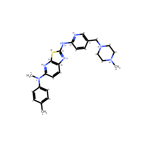 Cc1ccc(N(C)c2ccc3nc(Nc4ccc(CN5CCN(C)CC5)cn4)sc3n2)cc1